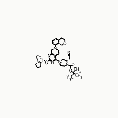 CN1CCC[C@H]1COc1nc2c(c(N3CCN(C(=O)OC(C)(C)C)[C@@H](CC#N)C3)n1)CCN(c1cccc3c1COCC3)C2